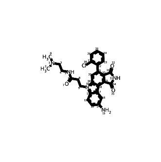 CN(C)CCNC(=O)CCn1c2ccc(N)cc2c2c3c(c(-c4ccccc4Cl)cc21)C(=O)NC3=O